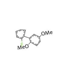 COc1ccc(OC)c(-c2ccccc2F)c1